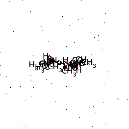 COC(=O)NC(C(=O)N1CC2CCC1(c1nc(-c3ccc(-c4ccc(-c5c[nH]c(C67CCC(CN6C(=O)[C@@H](NC(=O)OC)C(C)C)C7)n5)c5oc(C)cc45)cc3)c[nH]1)C2)C(C)C